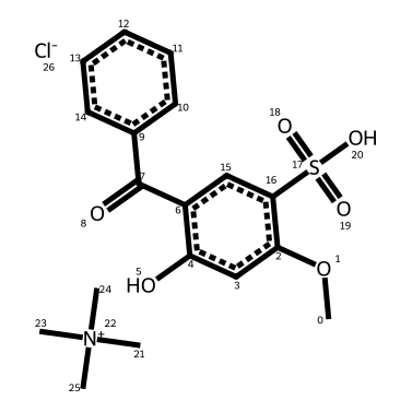 COc1cc(O)c(C(=O)c2ccccc2)cc1S(=O)(=O)O.C[N+](C)(C)C.[Cl-]